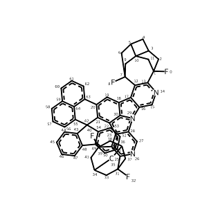 FC12CC3CC4CC(F)(CC34C1)c1c2ncc2c1c1cc3c(c4c5c6c(ncc5n2c14)C1(F)CC2CC(C1)CC6(F)C2)C1(c2ccccc2-c2ccccc21)c1cccc2cccc-3c12